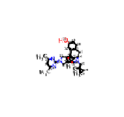 Cc1cc(C)nc(N2C[C@H]3CC45CCC2C3C42CCN(CC3(C)CC3)C5Cc3ccc(O)cc32)n1